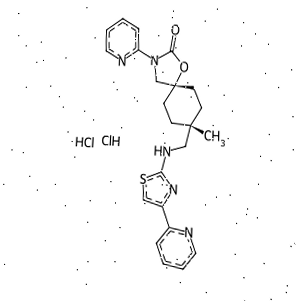 C[C@]1(CNc2nc(-c3ccccn3)cs2)CC[C@@]2(CC1)CN(c1ccccn1)C(=O)O2.Cl.Cl